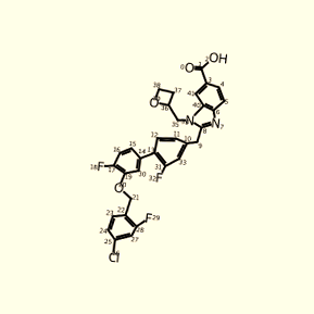 O=C(O)c1ccc2nc(Cc3ccc(-c4ccc(F)c(OCc5ccc(Cl)cc5F)c4)c(F)c3)n(CC3CCO3)c2c1